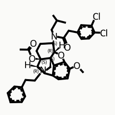 COc1ccc2c3c1O[C@H]1[C@@H](N(CC(C)C)C(=O)Cc4ccc(Cl)c(Cl)c4)CC[C@@]4(OC(C)=O)[C@@H](C2)N(CCc2ccccc2)CC[C@]314